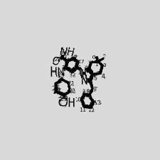 CC1(C)CCc2c(Cc3ccccc3)nn(-c3ccc(C(N)=O)c(N[C@H]4CC[C@H](O)CC4)c3)c2C1